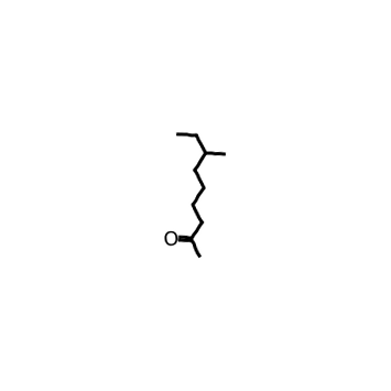 CCC(C)CCCCC(C)=O